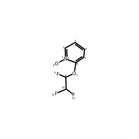 [O-][n+]1ccccc1OC(F)C(F)F